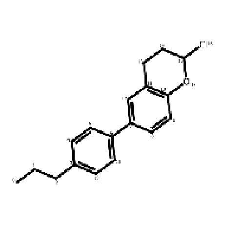 CCCc1ccc(-c2ccc3c(c2)CCC(Cl)O3)cc1